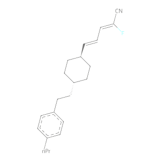 CCCc1ccc(CC[C@H]2CC[C@H](C=CC=C(F)C#N)CC2)cc1